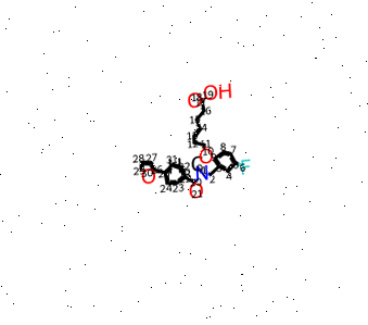 CN(Cc1cc(F)ccc1OCC/C=C/CCC(=O)O)C(=O)c1ccc(-c2ccco2)cc1